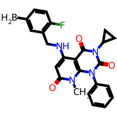 Bc1ccc(F)c(CNc2cc(=O)n(C)c3c2c(=O)n(C2CC2)c(=O)n3-c2ccccc2)c1